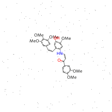 COc1cc(N/C=C\C(=O)c2ccc(OC)c(OC)c2)c(/C=C\c2cc(OC)c(OC)c(OC)c2)cc1O